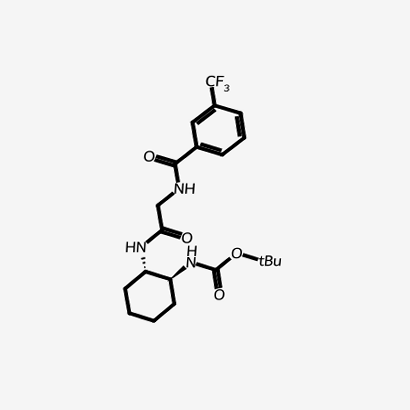 CC(C)(C)OC(=O)N[C@H]1CCCC[C@@H]1NC(=O)CNC(=O)c1cccc(C(F)(F)F)c1